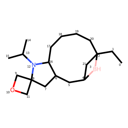 CCC12BC(CC3CC4(COC4)N(C(C)C)C3CCCC1)C2